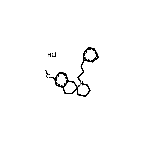 COc1ccc2c(c1)CCC1(CCCCN1CCCc1ccccc1)C2.Cl